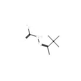 C/C(=N/NC(N)=O)C(C)(C)C